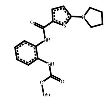 CC(C)(C)OC(=O)Nc1ccccc1NC(=O)c1ccc(N2CCCC2)s1